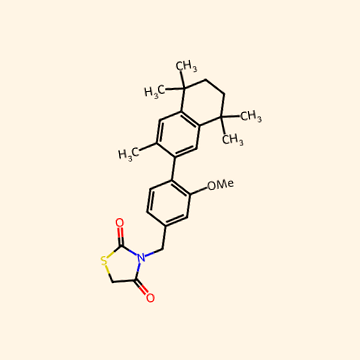 COc1cc(CN2C(=O)CSC2=O)ccc1-c1cc2c(cc1C)C(C)(C)CCC2(C)C